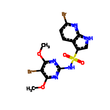 COc1nc(NS(=O)(=O)c2c[nH]c3nc(Br)ccc23)nc(OC)c1Br